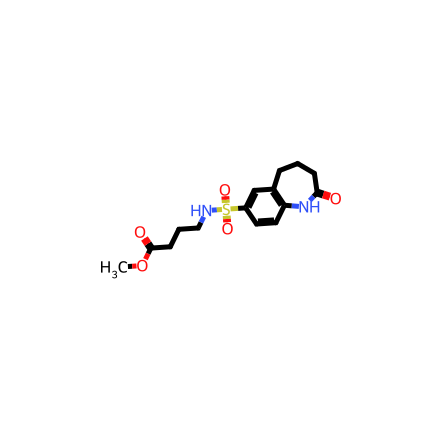 COC(=O)CCCNS(=O)(=O)c1ccc2c(c1)CCCC(=O)N2